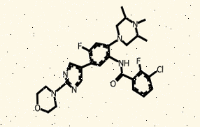 CC1CN(c2cc(F)c(-c3cnc(N4CCOCC4)nc3)cc2NC(=O)c2cccc(Cl)c2F)CC(C)N1C